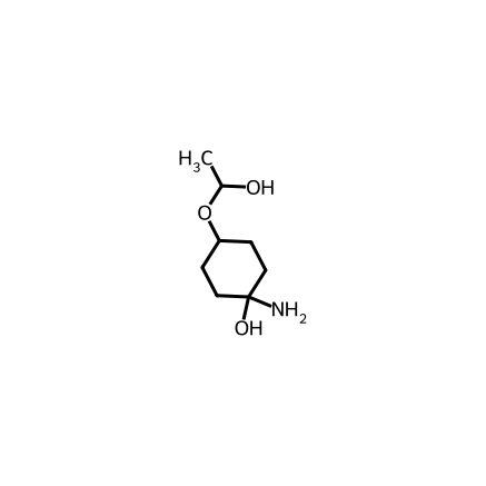 CC(O)OC1CCC(N)(O)CC1